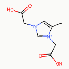 Cc1cn(CC(=O)O)c[n+]1CC(=O)O